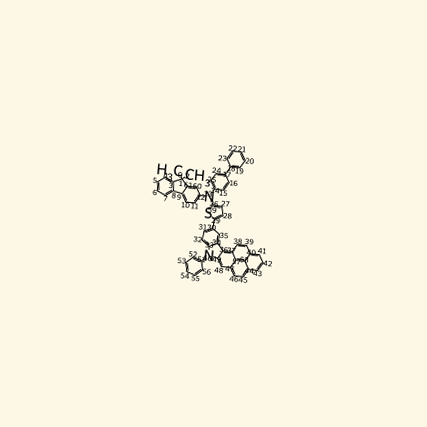 CC1(C)c2ccccc2-c2ccc(N(c3ccc(-c4ccccc4)cc3)c3ccc(-c4ccc5c(c4)c4c6ccc7cccc8ccc(cc4n5-c4ccccc4)c6c87)s3)cc21